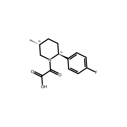 C[C@@H]1CC[C@@H](c2ccc(F)cc2)N(C(=O)C(=O)O)C1